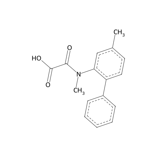 Cc1ccc(-c2ccccc2)c(N(C)C(=O)C(=O)O)c1